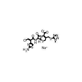 Cn1nnnc1SCC1=C(C(=O)[O-])N2C(=O)C(NC(=O)/C(=C/Cl)c3csc(N)n3)[C@H]2SC1.[Na+]